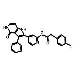 O=C(Cc1ccc(F)cc1)Nc1cc(-c2[nH]c3cc[nH]c(=O)c3c2-c2ccccc2)ccn1